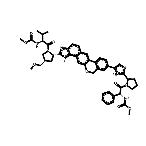 COC[C@H]1C[C@@H](c2nc3ccc4cc5c(cc4c3[nH]2)OCc2cc(-c3cnc(C4CCCN4C(=O)[C@H](NC(=O)OC)c4ccccc4)[nH]3)ccc2-5)N(C(=O)[C@@H](NC(=O)OC)C(C)C)C1